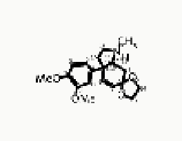 COc1ccc(C23C=CC4(C[C@@H]2N(C)CC3)OCCO4)cc1OC